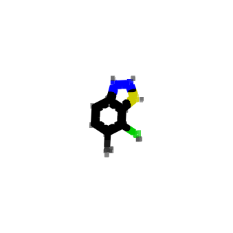 CC(=O)c1ccc2nnsc2c1Cl